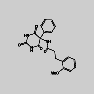 COc1ccccc1CCC(=O)NC1(c2ccccc2)C(=O)NC(=O)NC1=O